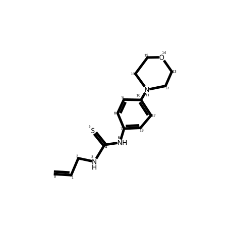 C=CCNC(=S)Nc1ccc(N2CCOCC2)cc1